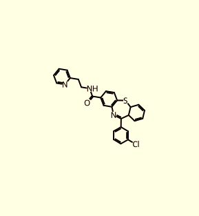 O=C(NCCc1ccccn1)c1ccc2c(c1)N=C(c1cccc(Cl)c1)C1C=CC=CC1S2